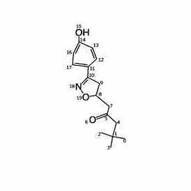 CC(C)(C)CC(=O)CC1CC(c2ccc(O)cc2)=NO1